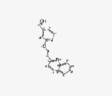 OCc1cccc(OCCc2ccc3ccccc3n2)c1